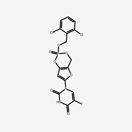 O=c1[nH]c(=O)n(-c2cc3c(o2)COP(=O)(OCc2c(Cl)cccc2Cl)O3)cc1F